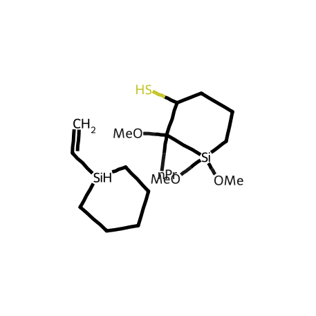 C=C[SiH]1CCCCC1.CCCC1(OC)C(S)CCC[Si]1(OC)OC